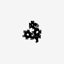 Cc1nc2ncc(-c3cnnn3C)cc2n1Cc1ccccc1